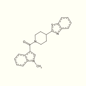 Cn1cc(C(=O)N2CCC(c3nc4ccccc4s3)CC2)c2ccccc21